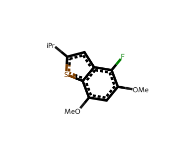 COc1cc(OC)c2sc(C(C)C)cc2c1F